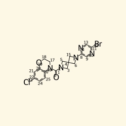 O=C(N1CC2(C1)CN(c1cnc(Br)cn1)C2)N1CCOc2cc(Cl)ccc21